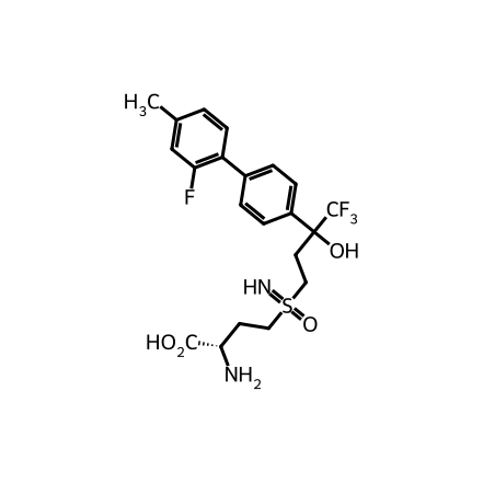 Cc1ccc(-c2ccc(C(O)(CCS(=N)(=O)CC[C@H](N)C(=O)O)C(F)(F)F)cc2)c(F)c1